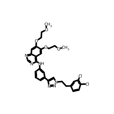 COCCOc1cc2ncnc(Nc3cccc(-c4cn(CCc5ccc(Cl)c(Cl)c5)nn4)c3)c2cc1OCCOC